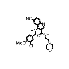 COc1ccc(CNc2c(C(=O)NCCN3CCOCC3)cnc3ccc(C#N)cc23)cc1Cl